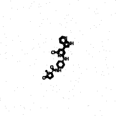 CN1C(=O)CC[C@H]1C(=O)N[C@H]1CC[C@H](Nc2cc(-c3c[nH]c4ncccc34)cc(Cl)n2)CC1